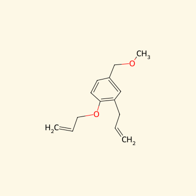 C=CCOc1ccc(COC)cc1CC=C